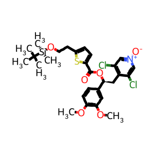 COc1ccc([C@H](Cc2c(Cl)c[n+]([O-])cc2Cl)OC(=O)c2ccc(CCO[Si](C)(C)C(C)(C)C)s2)cc1OC